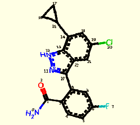 NC(=O)c1ccc(F)cc1-c1n[nH]c2c(C3CC3)cc(Cl)cc12